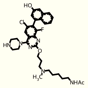 CC(=O)NCCCCCN(C)CCCOc1nc(N2CCNCC2)c2cc(Cl)c(-c3cc(O)cc4ccccc34)c(F)c2n1